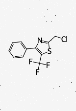 FC(F)(F)c1sc(CCl)nc1-c1ccccc1